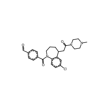 CN1CCN(C(=O)CC2CCCN(C(=O)c3ccc(C=O)cc3)c3ccc(Cl)cc32)CC1